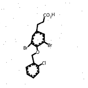 O=C(O)CCc1cc(Br)c(OCc2ccccc2Cl)c(Br)c1